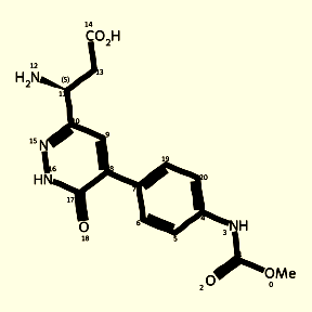 COC(=O)Nc1ccc(-c2cc([C@@H](N)CC(=O)O)n[nH]c2=O)cc1